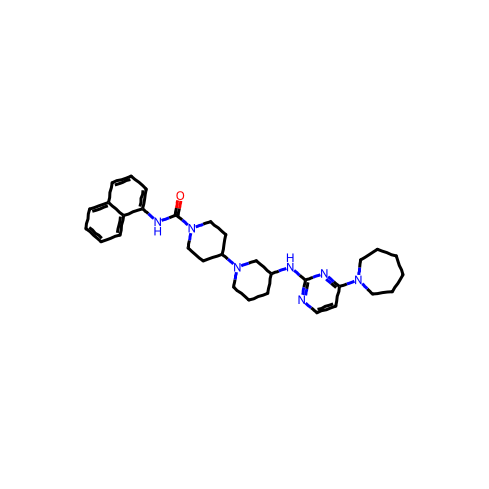 O=C(Nc1cccc2ccccc12)N1CCC(N2CCCC(Nc3nccc(N4CCCCCC4)n3)C2)CC1